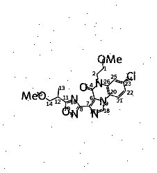 COCCn1c(=O)c2c(-c3noc(C(C)COC)n3)ncn2c2ccc(Cl)cc21